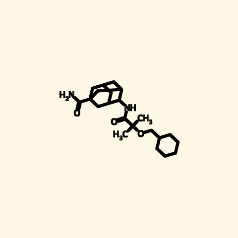 CC(C)(OCC1CCCCC1)C(=O)NC1C2CC3CC1CC(C(N)=O)(C3)C2